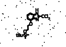 CC(C)(C)[Si](C)(C)OCCOc1cccc2[nH]c(C(Cl)(Cl)Cl)nc12